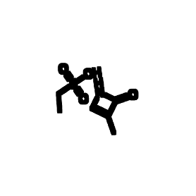 CC1=CNC1=O.CCS(=O)(=O)O